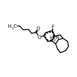 CCCCCC(=O)Oc1cc(F)c2c(c1)C1CCCCCC(C2)C1N